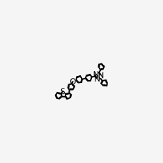 C1=CC(c2nc(-c3ccccc3)nc(-c3ccccc3)n2)CC=C1c1ccc(Oc2ccc(-c3cccc4c3sc3ccccc34)cc2)cc1